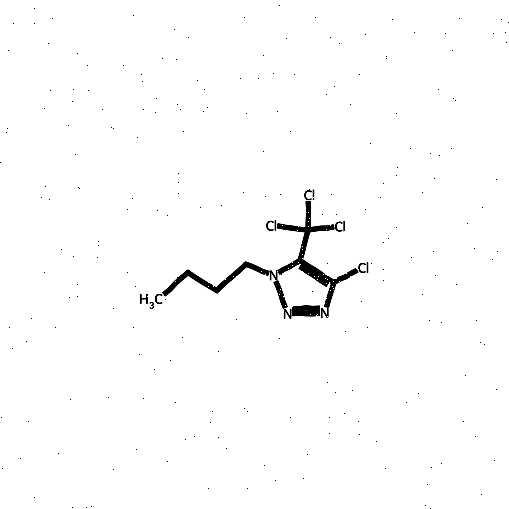 CCCCn1nnc(Cl)c1C(Cl)(Cl)Cl